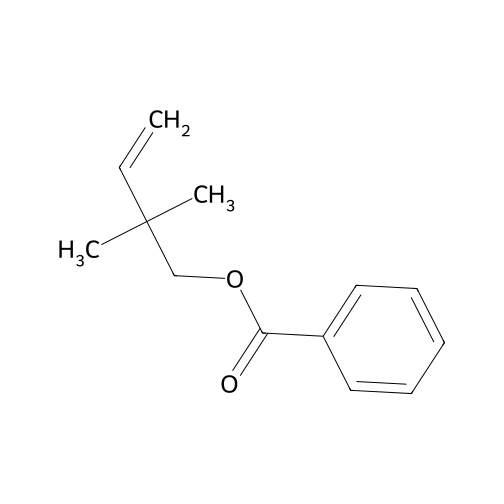 C=CC(C)(C)COC(=O)c1ccccc1